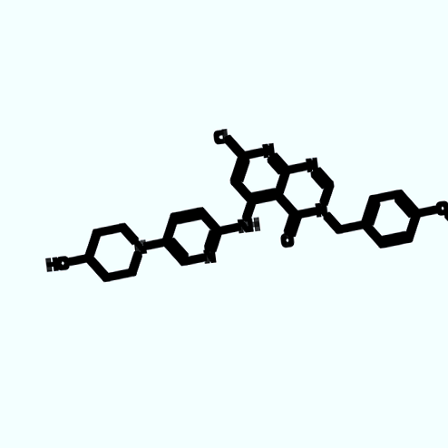 COc1ccc(Cn2cnc3nc(Cl)cc(Nc4ccc(N5CCC(O)CC5)cn4)c3c2=O)cc1